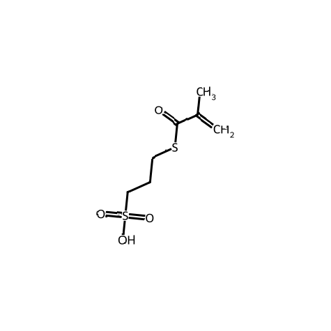 C=C(C)C(=O)SCCCS(=O)(=O)O